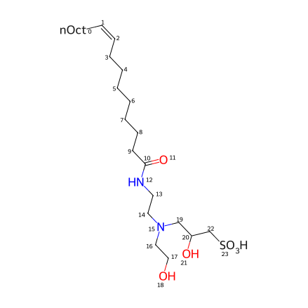 CCCCCCCC/C=C\CCCCCCCC(=O)NCCN(CCO)CC(O)CS(=O)(=O)O